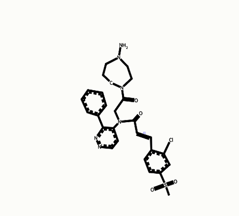 CS(=O)(=O)c1ccc(/C=C/C(=O)N(CC(=O)N2CCCN(N)CC2)c2ccnnc2-c2ccccc2)c(Cl)c1